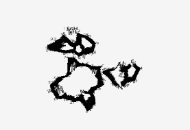 C1=Cc2cc3ccc(cc4nc(cc5ccc(cc1n2)[nH]5)C=C4)[nH]3.[SiH4].[SnH2].c1ccc2c(c1)Cc1ccccc1-2.c1cnc2sccc2n1